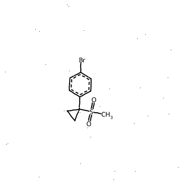 CS(=O)(=O)C1(c2ccc(Br)cc2)CC1